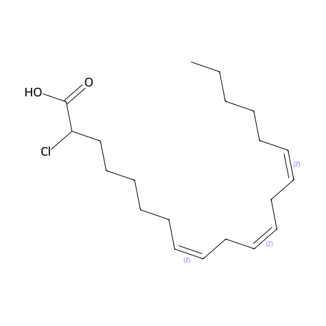 CCCCC/C=C\C/C=C\C/C=C\CCCCCC(Cl)C(=O)O